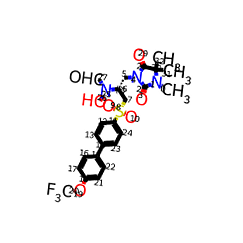 CN1C(=O)N(C[C@H](CS(=O)(=O)c2ccc(-c3ccc(OC(F)(F)F)cc3)cc2)N(O)C=O)C(=O)C1(C)C